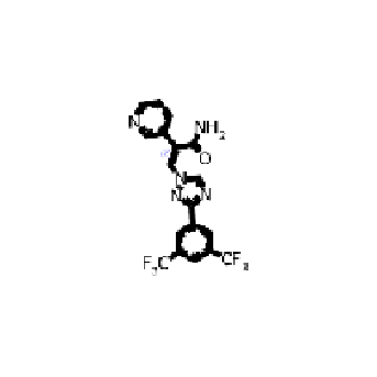 NC(=O)/C(=C\n1cnc(-c2cc(C(F)(F)F)cc(C(F)(F)F)c2)n1)c1cccnc1